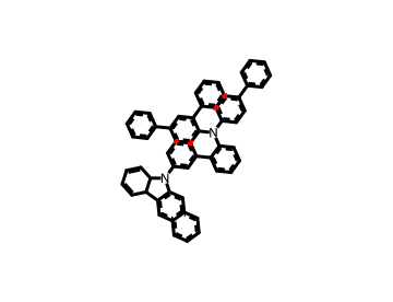 C1=CC2c3cc4ccccc4cc3N(c3cccc(-c4ccccc4N(c4ccc(-c5ccccc5)cc4)c4ccc(-c5ccccc5)cc4-c4ccccc4)c3)C2C=C1